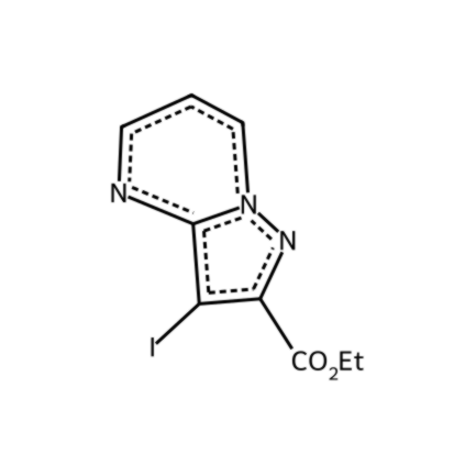 CCOC(=O)c1nn2cccnc2c1I